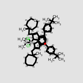 C[SiH](C)[Zr]([Cl])([Cl])([CH]1C(CC2(C)CCCCCCC2)=Cc2c(-c3ccc(C(C)(C)C)cc3)cccc21)[CH]1C(CC2(C)CCCCCCC2)=Cc2c(-c3ccc(C(C)(C)C)cc3)cccc21